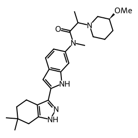 CO[C@H]1CCCN(C(C)C(=O)N(C)c2ccc3cc(-c4n[nH]c5c4CCC(C)(C)C5)[nH]c3c2)C1